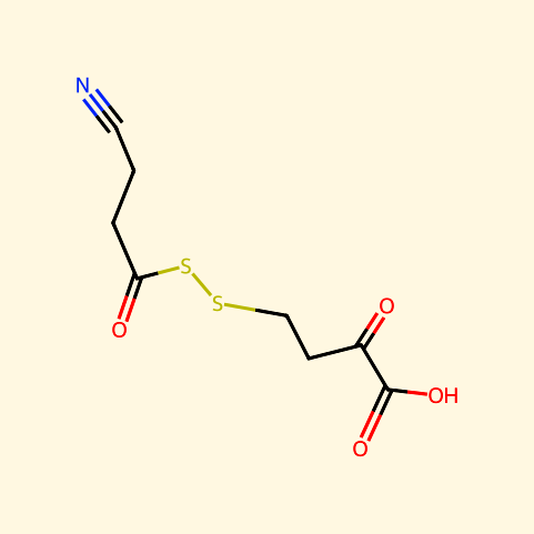 N#CCCC(=O)SSCCC(=O)C(=O)O